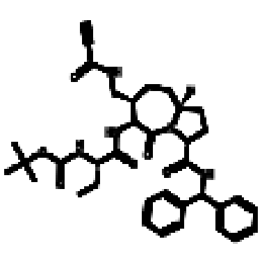 C#CC(=O)NC[C@H]1CC[C@H]2CC[C@@H](C(=O)NC(c3ccccc3)c3ccccc3)N2C(=O)[C@H]1NC(=O)[C@H](CC)NC(=O)OC(C)(C)C